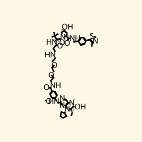 CC[C@@H]1C(O)N(C)c2cnc(Nc3ccc(C(=O)NCCOCCOCCNCCC(=O)N[C@H](C(=O)N4C[C@H](O)C[C@H]4C(=O)NCc4ccc(-c5scnc5C)cc4)C(C)(C)C)cc3OC)nc2N1C1CCCC1